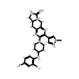 Cn1cc(-c2nc3c(nc2N2CCC(Oc4ccc(F)cc4F)CC2)CC2COC(=O)N2C3)cn1